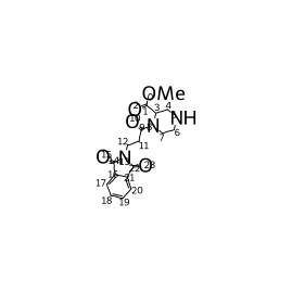 COC(=O)C1CNCCN1C(=O)CCN1C(=O)c2ccccc2C1=O